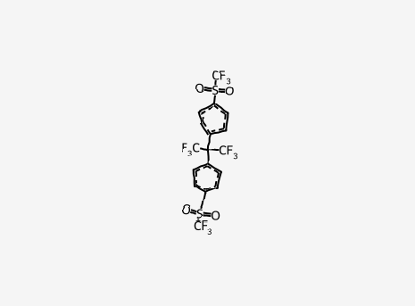 O=S(=O)(c1ccc(C(c2ccc(S(=O)(=O)C(F)(F)F)cc2)(C(F)(F)F)C(F)(F)F)cc1)C(F)(F)F